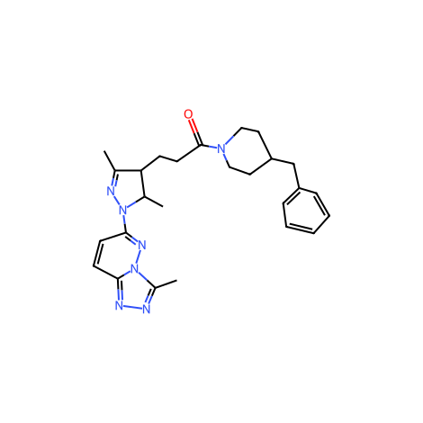 CC1=NN(c2ccc3nnc(C)n3n2)C(C)C1CCC(=O)N1CCC(Cc2ccccc2)CC1